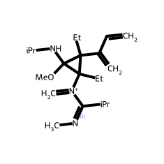 C=CC(=C)C1(CC)C(NC(C)C)(OC)C1(CC)[N+](=C)/C(=N\C)C(C)C